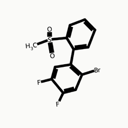 CS(=O)(=O)c1ccccc1-c1cc(F)c(F)cc1Br